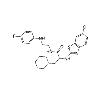 O=C(NCCNc1ccc(F)cc1)C(CC1CCCCC1)Nc1nc2ccc(Cl)cc2s1